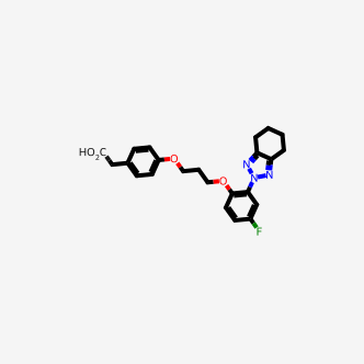 O=C(O)Cc1ccc(OCCCOc2ccc(F)cc2-n2nc3c(n2)CCCC3)cc1